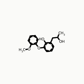 COc1ccccc1Oc1cccc(CC(C)O)c1O